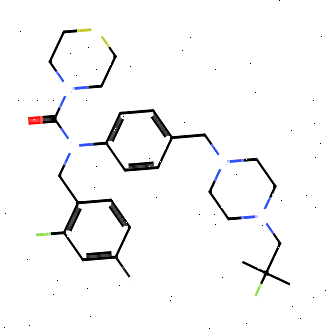 CCOC(=O)c1ccc(CN(C(=O)N2CCSCC2)c2ccc(CN3CCN(CC(C)(C)F)CC3)cc2)c(F)c1